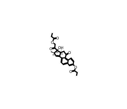 CCC(=O)OCC(=O)[C@@]1(O)[C@H](C)C=C2c3ccc4cc(OC(=O)CC)ccc4c3C(=O)C[C@@]21C